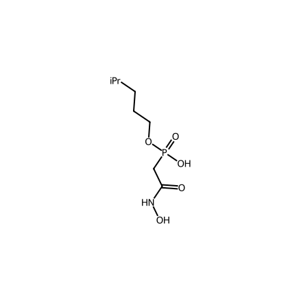 CC(C)CCCOP(=O)(O)CC(=O)NO